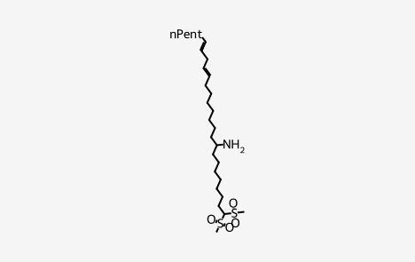 CCCCCC=CCC=CCCCCCCCC(N)CCCCCCCC(S(C)(=O)=O)S(C)(=O)=O